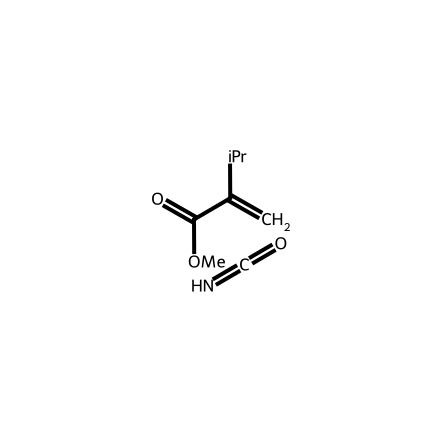 C=C(C(=O)OC)C(C)C.N=C=O